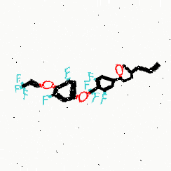 CCCC1CCC(c2cc(F)c(C(F)(F)Oc3cc(F)c(O/C=C/C(F)(F)F)c(F)c3)c(F)c2)OC1